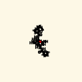 CC1(C)CCOc2c(C(=O)N[C@H]3CN4C(=N)N[C@@H](CNC(=O)c5ccccn5)[C@@H]5NC(=N)N[C@@]54C3(O)O)cccc21